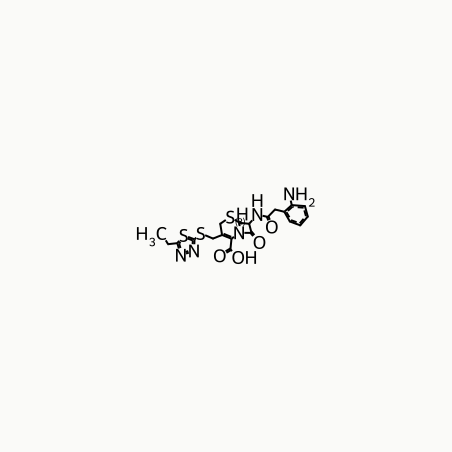 CCc1nnc(SCC2=C(C(=O)O)N3C(=O)C(NC(=O)Cc4ccccc4N)[C@H]3SC2)s1